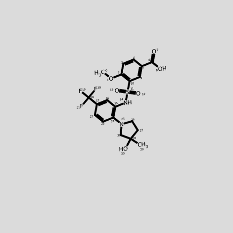 COc1ccc(C(=O)O)cc1S(=O)(=O)Nc1cc(C(F)(F)F)ccc1N1CCC(C)(O)C1